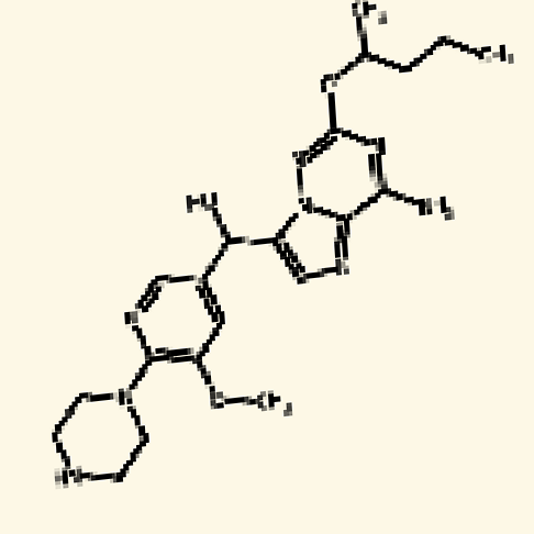 CCCC(C)Oc1nc(N)c2ncc(C(O)c3cnc(N4CCNCC4)c(OC)c3)n2n1